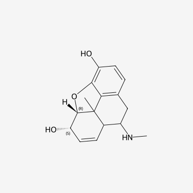 CNC1Cc2ccc(O)c3c2C2(C)C1C=C[C@H](O)[C@@H]2O3